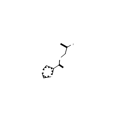 CC(=O)NC(=O)CSC(=O)c1cscn1